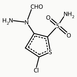 NN(C=O)c1cc(Cl)sc1S(N)(=O)=O